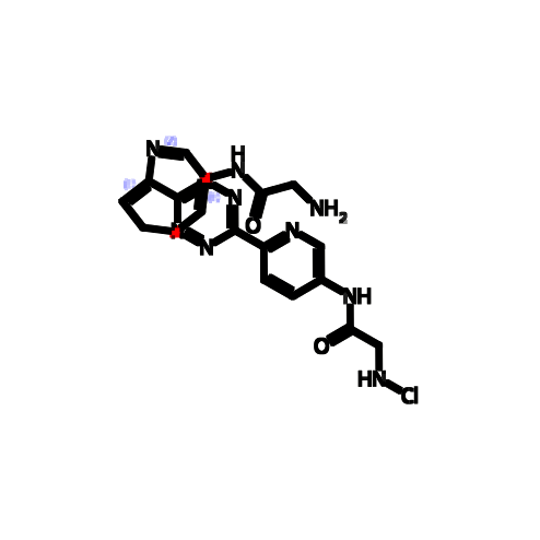 NCC(=O)NC1=C/CC/C=C(c2nnc(-c3ccc(NC(=O)CNCl)cn3)nn2)/N=C\1